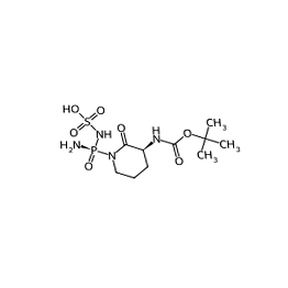 CC(C)(C)OC(=O)N[C@H]1CCCN([P@](N)(=O)NS(=O)(=O)O)C1=O